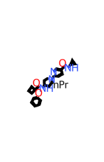 CCCC1CC(NC(=O)C2(Oc3ccccc3)CCC2)CCN1c1ccc(C(=O)NC2CC2)cn1